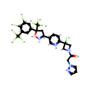 O=C(Cn1cccn1)N1CC(F)(c2ccc(C3=NOC(c4cc(F)c(F)c(C(F)(F)F)c4)(C(F)(F)F)C3)cn2)C1